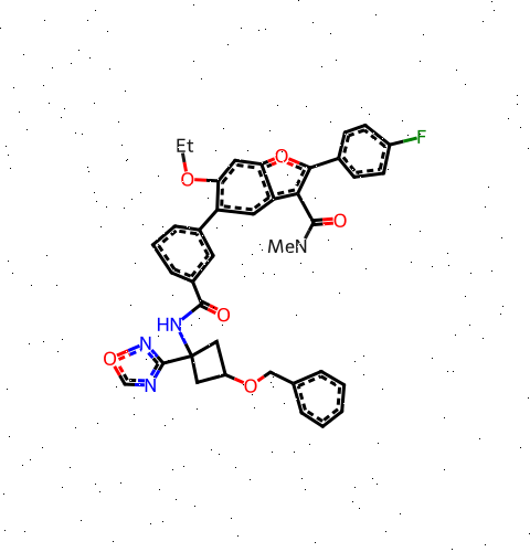 CCOc1cc2oc(-c3ccc(F)cc3)c(C(=O)NC)c2cc1-c1cccc(C(=O)NC2(c3ncon3)CC(OCc3ccccc3)C2)c1